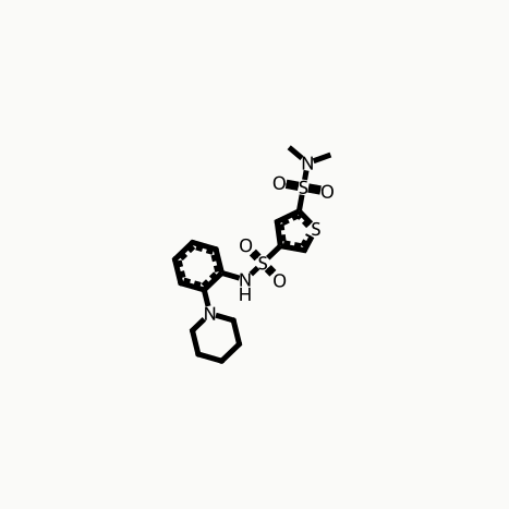 CN(C)S(=O)(=O)c1cc(S(=O)(=O)Nc2ccccc2N2CCCCC2)cs1